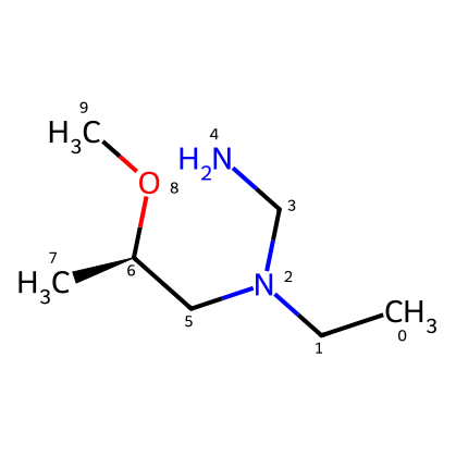 CCN(CN)C[C@@H](C)OC